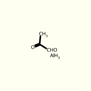 CC(=O)C=O.[AlH3]